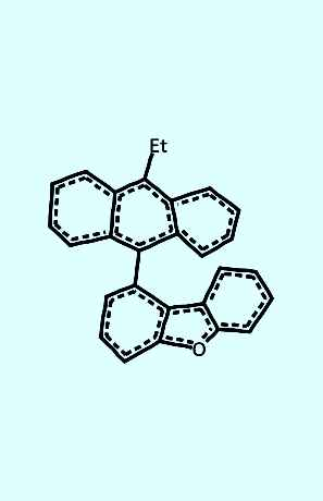 CCc1c2ccccc2c(-c2cccc3oc4ccccc4c23)c2ccccc12